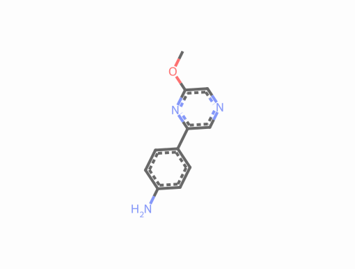 COc1cncc(-c2ccc(N)cc2)n1